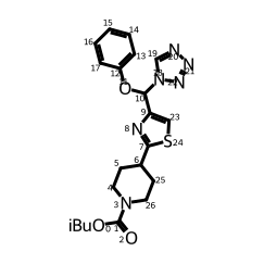 CC(C)COC(=O)N1CCC(c2nc(C(Oc3ccccc3)n3cnnn3)cs2)CC1